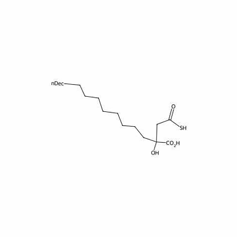 CCCCCCCCCCCCCCCCCCC(O)(CC(=O)S)C(=O)O